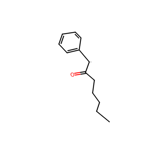 CCCCCC(=O)[CH]c1ccccc1